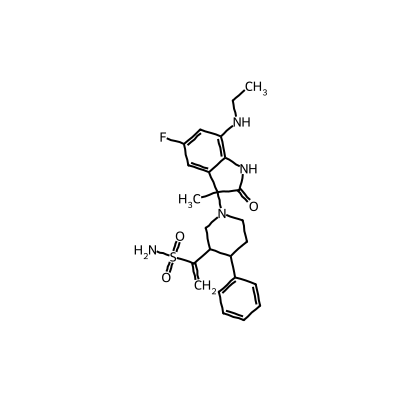 C=C(C1CN(C2(C)C(=O)Nc3c(NCC)cc(F)cc32)CCC1c1ccccc1)S(N)(=O)=O